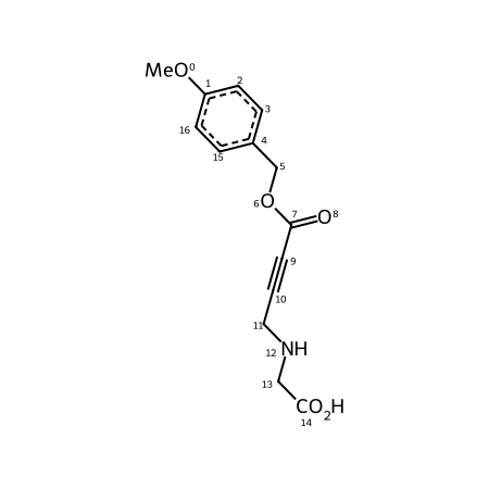 COc1ccc(COC(=O)C#CCNCC(=O)O)cc1